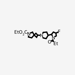 CCOC(=O)N1CCC2(CC(N3CCC(C4CC(F)CN4C(=O)CC)CC3)C2)C1